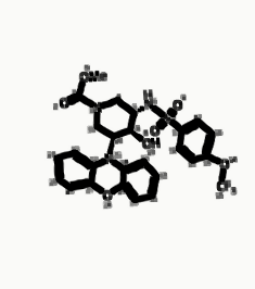 COC(=O)N1C[C@H](NS(=O)(=O)c2ccc(OC(F)(F)F)cc2)[C@@H](O)[C@@H](N2c3ccccc3Oc3ccccc32)C1